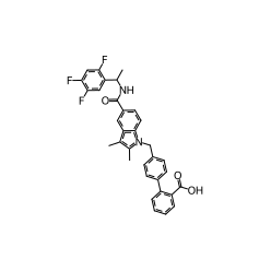 Cc1c(C)n(Cc2ccc(-c3ccccc3C(=O)O)cc2)c2ccc(C(=O)NC(C)c3cc(F)c(F)cc3F)cc12